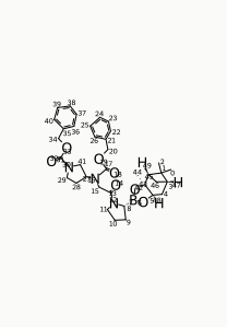 CC1(C)[C@@H]2C[C@H]3OB([C@@H]4CCCN4C(=O)CN(C(=O)OCc4ccccc4)C4CCN(C(=O)OCc5ccccc5)C4)O[C@@]3(C)[C@H]1C2